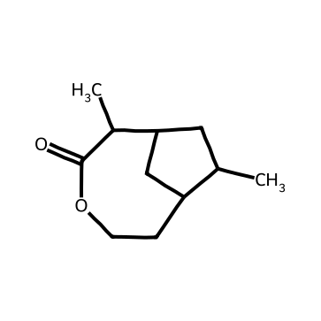 CC1CC2CC1CCOC(=O)C2C